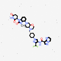 Cn1c(=O)n(C2CCC(=O)NC2=O)c2cccc(N3CCC4C(C3)OCCN4C[C@H]3CC[C@H](n4cc(NC(=O)c5cnn6cccnc56)c(C(F)F)n4)CC3)c21